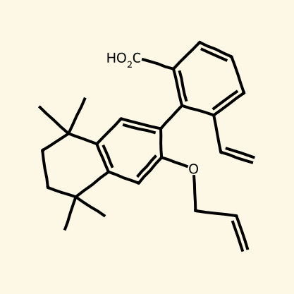 C=CCOc1cc2c(cc1-c1c(C=C)cccc1C(=O)O)C(C)(C)CCC2(C)C